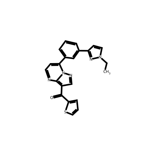 CCn1ccc(-c2cccc(-c3ccnc4c(C(=O)c5cccs5)cnn34)c2)n1